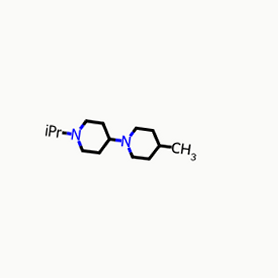 CC1CCN(C2CCN(C(C)C)CC2)CC1